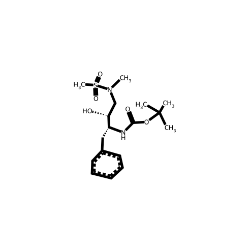 CN(C[C@@H](O)[C@@H](Cc1ccccc1)NC(=O)OC(C)(C)C)S(C)(=O)=O